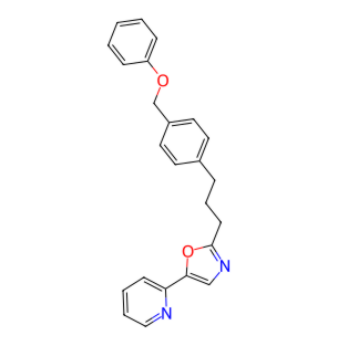 c1ccc(OCc2ccc(CCCc3ncc(-c4ccccn4)o3)cc2)cc1